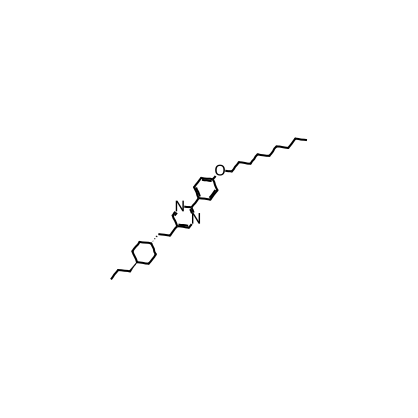 CCCCCCCCCOc1ccc(-c2ncc(CC[C@H]3CC[C@H](CCC)CC3)cn2)cc1